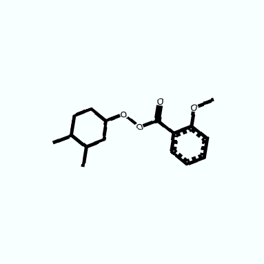 COc1ccccc1C(=O)OO[C]1CCC(C)C(C)C1